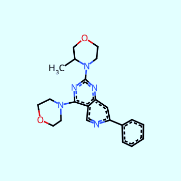 CC1COCCN1c1nc(N2CCOCC2)c2cnc(-c3ccccc3)cc2n1